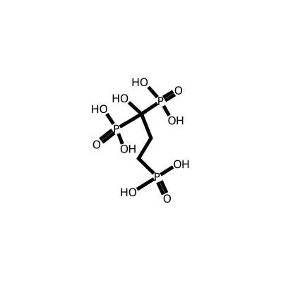 O=P(O)(O)CCC(O)(P(=O)(O)O)P(=O)(O)O